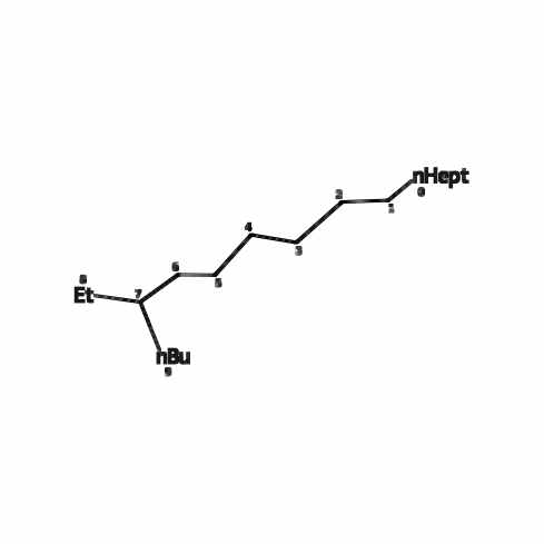 CCCCCCCCCCCCCC(CC)CCCC